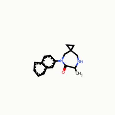 CC1NCC2(CC2)CN(c2ccc3ccccc3c2)C1=O